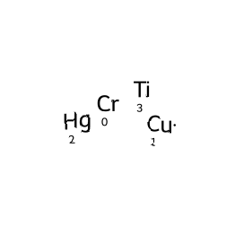 [Cr].[Cu].[Hg].[Ti]